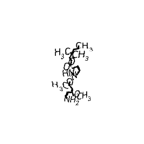 CCCC(C)(C)COC(=O)[C@@H]1CCCN(CO[C@@H](C)/C=C(\C=C/N)COC)N1